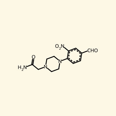 NC(=O)CN1CCN(c2ccc(C=O)cc2[N+](=O)[O-])CC1